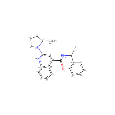 CCC(NC(=O)c1cc(N2CCCC2C(=O)O)nc2ccccc12)c1ccccc1